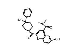 CN(C)C(=O)c1cc(C(=O)N2CCC(C#N)(c3ccccc3)CC2)nc2ccc(O)cc12